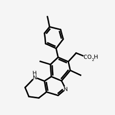 Cc1ccc(-c2c(CC(=O)O)c(C)c3ncc4c(c3c2C)NCCC4)cc1